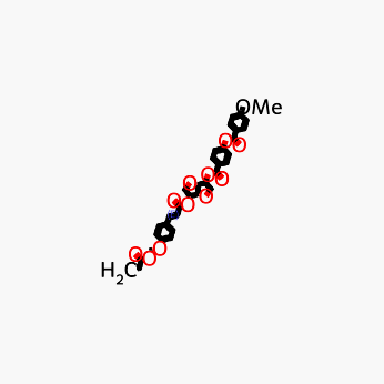 C=CC(=O)OCOc1ccc(/C=C/C(=O)OC2COC3C(OC(=O)c4ccc(OC(=O)c5ccc(OC)cc5)cc4)COC23)cc1